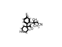 CC(C)(CC#N)OC(=O)C1(c2ccc(F)cc2)CCNCC1